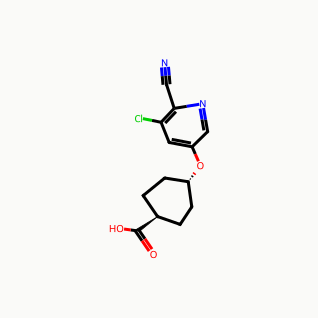 N#Cc1ncc(O[C@H]2CC[C@H](C(=O)O)CC2)cc1Cl